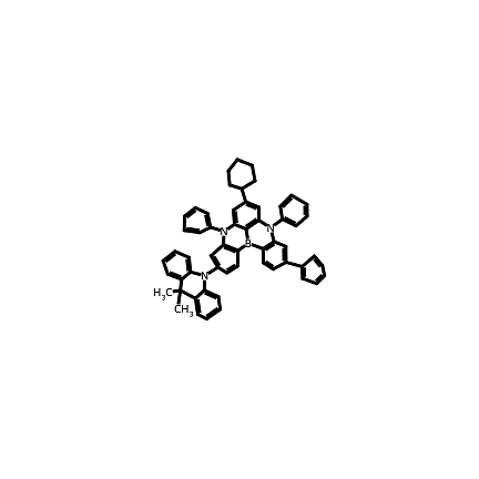 CC1(C)c2ccccc2N(c2ccc3c(c2)N(c2ccccc2)c2cc(C4CCCCC4)cc4c2B3c2ccc(-c3ccccc3)cc2N4c2ccccc2)c2ccccc21